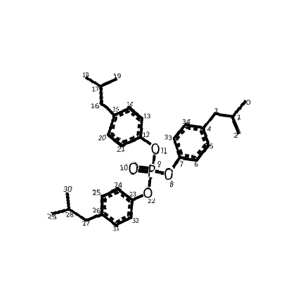 CC(C)Cc1ccc(OP(=O)(Oc2ccc(CC(C)C)cc2)Oc2ccc(CC(C)C)cc2)cc1